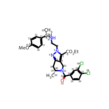 CCOC(=O)c1c2c(nn1CCN[Si@@H](C)c1ccc(OC)cc1)C[C@@H](C)N(C(=O)c1ccc(Cl)c(Cl)c1)C2